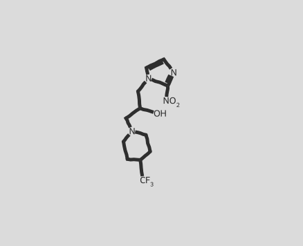 O=[N+]([O-])c1nccn1CC(O)CN1CCC(C(F)(F)F)CC1